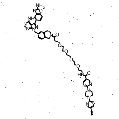 C#Cc1cnc(N2CCN(c3ncc(C(=O)NCCOCCOCCOCCOCCC(=O)N4CCc5cc(Cn6nc(-c7ccc8oc(N)nc8c7)c7c(N)ncnc76)ccc5C4)cn3)CC2)nc1